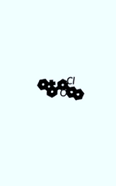 CC1(C)c2ccccc2-c2cccc(-c3ccc(Cl)c4c3oc3cc5ccccc5cc34)c21